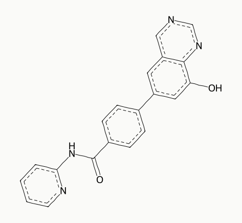 O=C(Nc1ccccn1)c1ccc(-c2cc(O)c3ncncc3c2)cc1